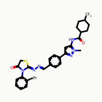 CC(C)c1ccccc1N1C(=O)CSC1=NN=Cc1ccc(-c2cc(NC(=O)C3CCC(C(F)(F)F)CC3)n(C)n2)cc1